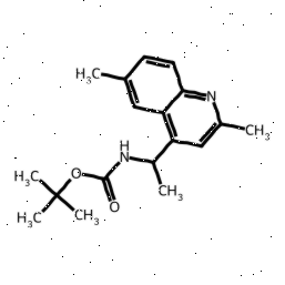 Cc1ccc2nc(C)cc(C(C)NC(=O)OC(C)(C)C)c2c1